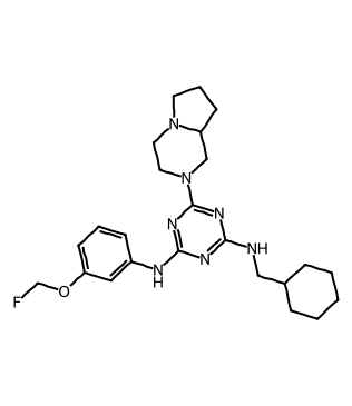 FCOc1cccc(Nc2nc(NCC3CCCCC3)nc(N3CCN4CCCC4C3)n2)c1